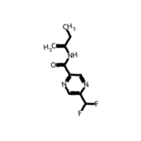 C=C(CC)NC(=O)c1cnc(C(F)F)cn1